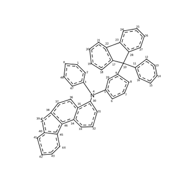 c1ccc(N(c2cccc(C3(c4ccccc4)c4ccccc4-c4ccccc43)c2)c2cccc3c2ccc2sc4ccccc4c23)cc1